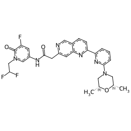 C[C@@H]1CN(c2cccc(-c3ccc4cnc(CC(=O)Nc5cc(F)c(=O)n(CC(F)F)c5)cc4n3)n2)C[C@H](C)O1